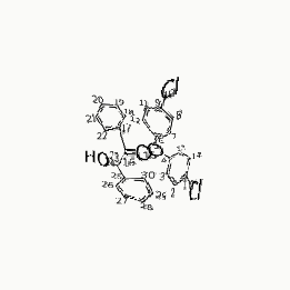 Clc1ccc(Oc2ccc(Cl)cc2)cc1.O=C(c1ccccc1)C(O)c1ccccc1